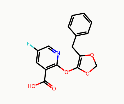 O=C(O)c1cc(F)cnc1OC1=C(Cc2ccccc2)OCO1